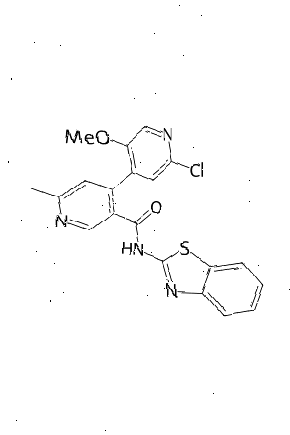 COc1cnc(Cl)cc1-c1cc(C)ncc1C(=O)Nc1nc2ccccc2s1